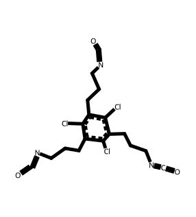 O=C=NCCCc1c(Cl)c(CCCN=C=O)c(Cl)c(CCCN=C=O)c1Cl